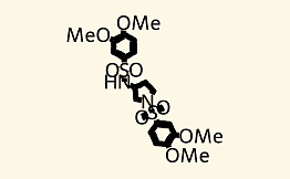 COc1ccc(S(=O)(=O)NC2CCN(S(=O)(=O)c3ccc(OC)c(OC)c3)C2)cc1OC